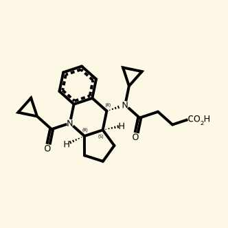 O=C(O)CCC(=O)N(C1CC1)[C@H]1c2ccccc2N(C(=O)C2CC2)[C@@H]2CCC[C@@H]21